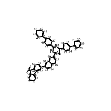 CC1(C)c2ccccc2-c2cc(-c3ccc4ccc(-c5nc(-c6ccc(-c7ccccc7)cc6)nc(-c6ccc(-c7ccccc7)cc6)n5)cc4c3)ccc21